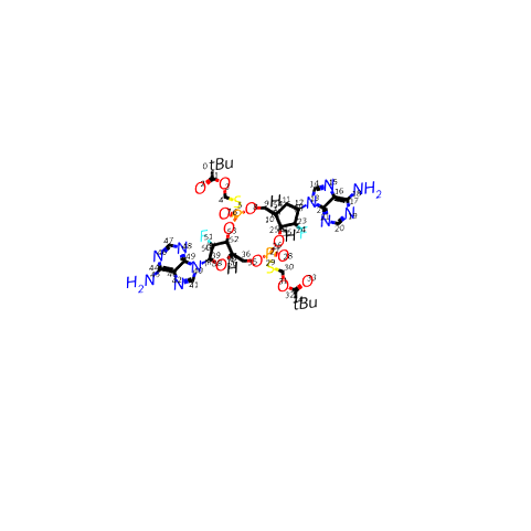 CC(C)(C)C(=O)OCSP1(=O)OC[C@H]2C[C@@H](n3cnc4c(N)ncnc43)C(F)[C@H]2OP(=O)(SCOC(=O)C(C)(C)C)OC[C@H]2O[C@@H](n3cnc4c(N)ncnc43)[C@@H](F)C2O1